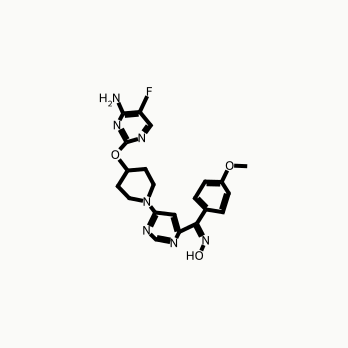 COc1ccc(C(=NO)c2cc(N3CCC(Oc4ncc(F)c(N)n4)CC3)ncn2)cc1